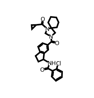 O=C(NC1CCc2ccc(C(=O)N3CN(C(=O)C4CC4)C4(CCCCC4)C3)cc21)c1ccccc1Cl